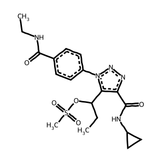 CCNC(=O)c1ccc(-n2nnc(C(=O)NC3CC3)c2C(CC)OS(C)(=O)=O)cc1